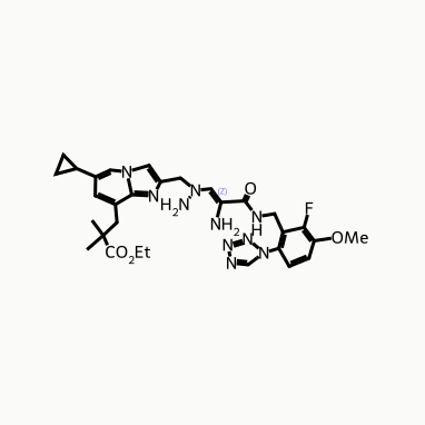 CCOC(=O)C(C)(C)Cc1cc(C2CC2)cn2cc(CN(N)/C=C(\N)C(=O)NCc3c(-n4cnnn4)ccc(OC)c3F)nc12